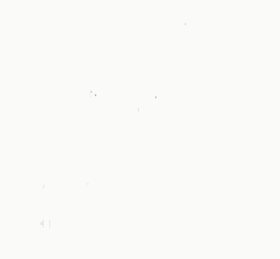 Cc1ccc(-c2cc(CCO)on2)cc1